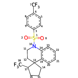 O=S(=O)(c1ccc(C(F)(F)F)cc1)N1CCC2(CCCC2C(F)(F)F)c2ccccc21